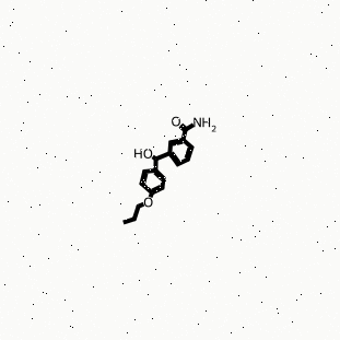 CCCOc1ccc(C(O)c2cccc(C(N)=O)c2)cc1